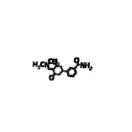 CN(C)C=C1C(=O)CC(c2cccc(C(N)=O)c2)CC1=O